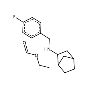 CCOC=O.Fc1ccc(CNC2CC3CCC2C3)cc1